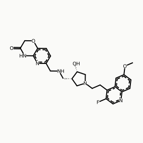 COc1ccc2ncc(F)c(CCN3C[C@H](CNCc4ccc5c(n4)NC(=O)CO5)[C@H](O)C3)c2c1